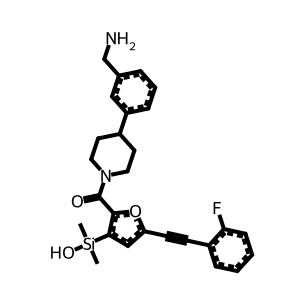 C[Si](C)(O)c1cc(C#Cc2ccccc2F)oc1C(=O)N1CCC(c2cccc(CN)c2)CC1